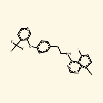 Fc1ccc(F)c2c(NCCc3ccc(Oc4cnccc4C(F)(F)F)cc3)ncnc12